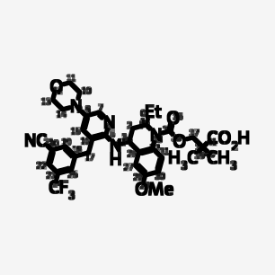 CC[C@@H]1C[C@H](Nc2ncc(N3CCOCC3)cc2Cc2cc(C#N)cc(C(F)(F)F)c2)c2cc(OC)ccc2N1C(=O)OCC(C)(C)C(=O)O